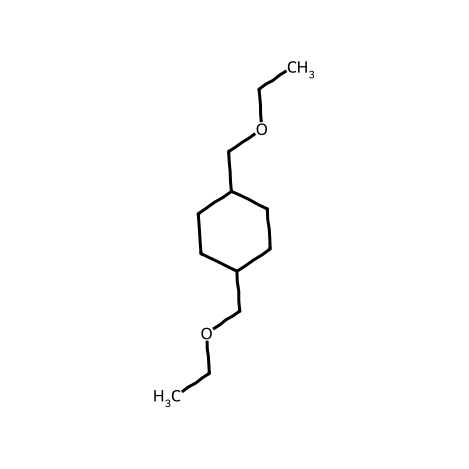 CCOCC1CCC(COCC)CC1